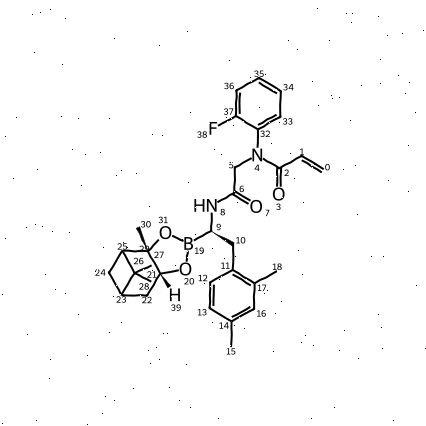 C=CC(=O)N(CC(=O)N[C@@H](Cc1ccc(C)cc1C)B1O[C@@H]2CC3CC(C3(C)C)[C@]2(C)O1)c1ccccc1F